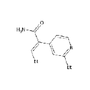 CC/C=C(/C(N)=O)c1ccnc(CC)c1